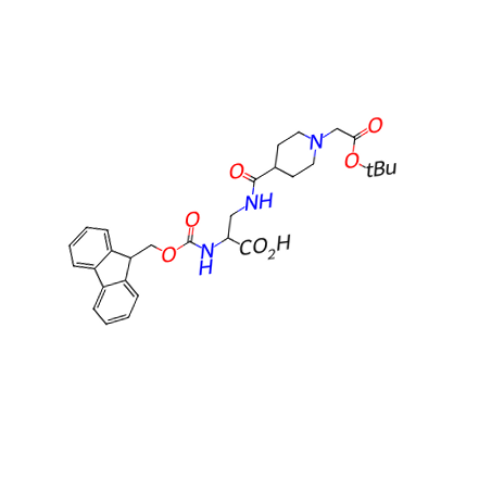 CC(C)(C)OC(=O)CN1CCC(C(=O)NCC(NC(=O)OCC2c3ccccc3-c3ccccc32)C(=O)O)CC1